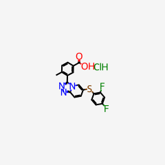 Cc1ccc(C(=O)O)cc1-c1nnc2ccc(Sc3ccc(F)cc3F)cn12.Cl